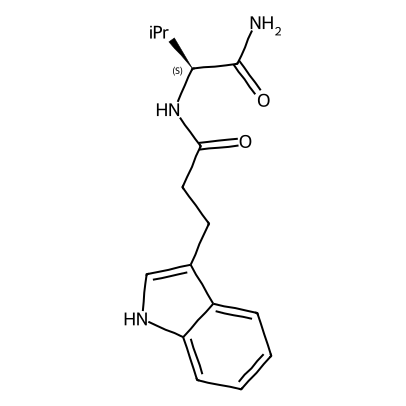 CC(C)[C@H](NC(=O)CCc1c[nH]c2ccccc12)C(N)=O